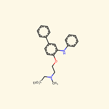 CCOC(=O)CN(C)CCOc1ccc(-c2ccccc2)cc1Nc1ccccc1